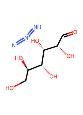 O=C[C@H](O)[C@@H](O)[C@H](O)[C@H](O)CO.[N-]=[N+]=N